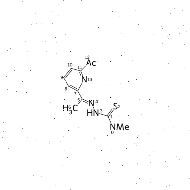 CNC(=S)NN=C(C)c1cccc(C(C)=O)n1